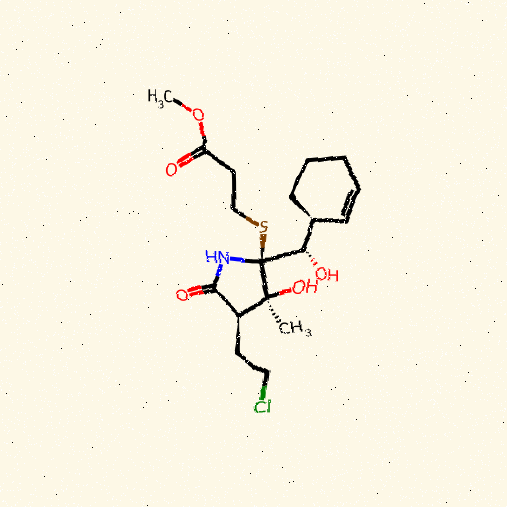 COC(=O)CCS[C@]1([C@@H](O)[C@@H]2C=CCCC2)NC(=O)[C@H](CCCl)[C@]1(C)O